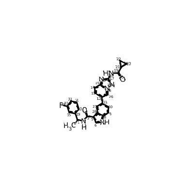 C[C@H](NC(=O)c1c[nH]c2ccc(-c3ccc4nc(NC(=O)C5CC5)nn4c3)cc12)c1cccc(F)c1